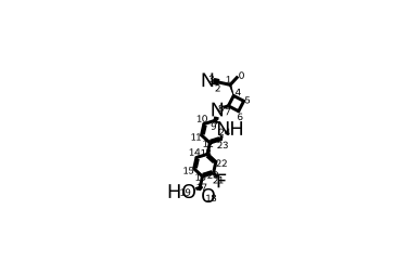 CC(C#N)[C@H]1CCC1N=c1ccc(-c2ccc(C(=O)O)c(F)c2)c[nH]1